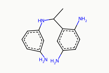 CC(Nc1cccc(N)c1)c1cc(N)ccc1N